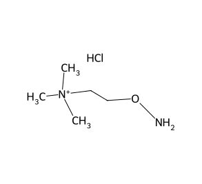 C[N+](C)(C)CCON.Cl